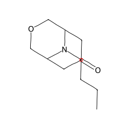 CCCCN1C2COCC1CC(=O)C2